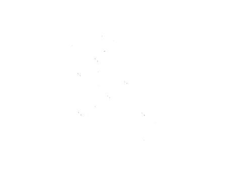 N#Cc1cc(-n2c3ccc(-n4c5ccccc5c5ccccc54)cc3c3ccc4c(c5ccccc5n4-c4ccccc4)c32)c(C#N)cc1-n1c2ccccc2c2c3ccccc3ccc21